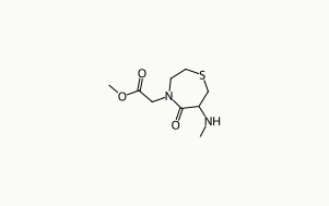 CNC1CSCCN(CC(=O)OC)C1=O